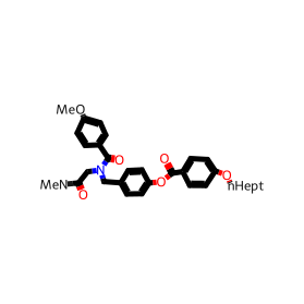 CCCCCCCOc1ccc(C(=O)Oc2ccc(CN(CC(=O)NC)C(=O)c3ccc(OC)cc3)cc2)cc1